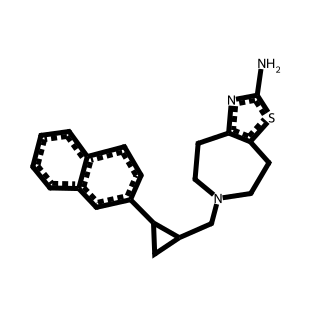 Nc1nc2c(s1)CCN(CC1CC1c1ccc3ccccc3c1)CC2